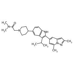 Cc1cc2cc(-c3[nH]c4ccc(C5CCN(CC(=O)N(C)C)CC5)cc4c3C(C)C)cc(C)n2n1